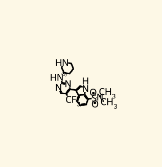 CN(C)S(=O)(=O)c1cccc2c(-c3nc(N[C@H]4CCCNC4)ncc3C(F)(F)F)c[nH]c12